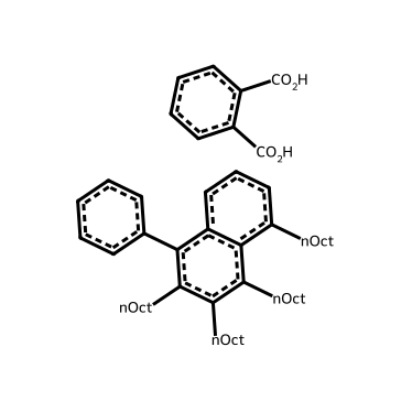 CCCCCCCCc1c(CCCCCCCC)c(CCCCCCCC)c2c(CCCCCCCC)cccc2c1-c1ccccc1.O=C(O)c1ccccc1C(=O)O